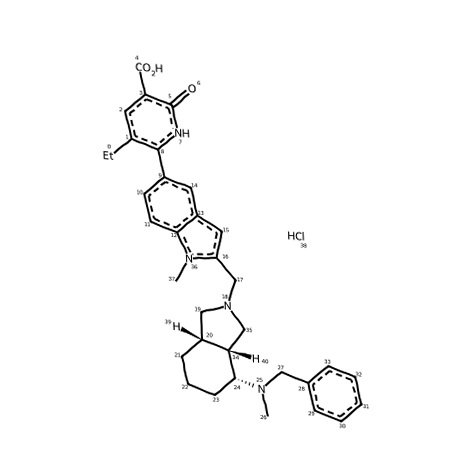 CCc1cc(C(=O)O)c(=O)[nH]c1-c1ccc2c(c1)cc(CN1C[C@H]3CCC[C@@H](N(C)Cc4ccccc4)[C@H]3C1)n2C.Cl